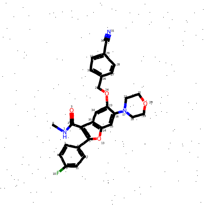 CNC(=O)c1c(-c2ccc(F)cc2)oc2cc(N3CCOCC3)c(OCc3ccc(C#N)cc3)cc12